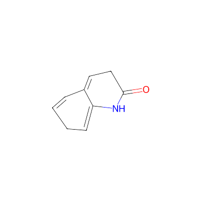 O=C1CC=C2C=CCC=C2N1